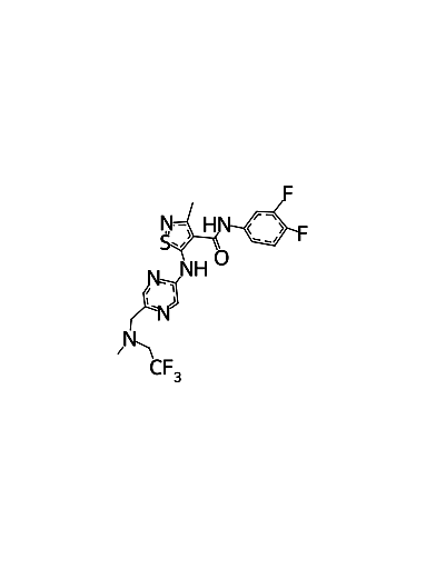 Cc1nsc(Nc2cnc(CN(C)CC(F)(F)F)cn2)c1C(=O)Nc1ccc(F)c(F)c1